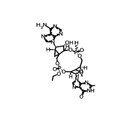 CCO[P@]1(=O)OCC23C[C@@H]2[C@@H](n2cnc4c(N)ncnc42)[C@H](O)[C@@H]3O[P@@](=O)(S)OC[C@H]2O[C@@H](n3cnc4c(=O)[nH]c(C)nc43)[C@H](O1)[C@@H]2OC